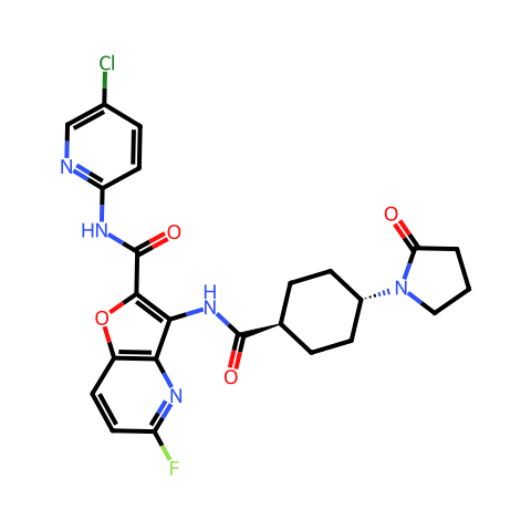 O=C(Nc1ccc(Cl)cn1)c1oc2ccc(F)nc2c1NC(=O)[C@H]1CC[C@H](N2CCCC2=O)CC1